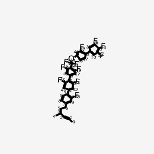 CC#CC(C)CCc1ccc(-c2cc(F)c(-c3cc(F)c(C(F)(F)Oc4ccc(-c5cc(F)c(F)c(F)c5)c(F)c4)c(F)c3)c(F)c2)c(F)c1